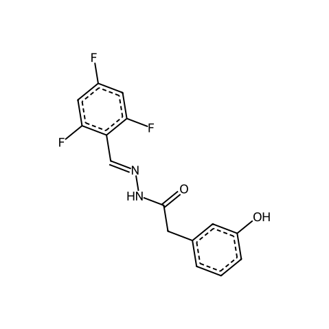 O=C(Cc1cccc(O)c1)N/N=C/c1c(F)cc(F)cc1F